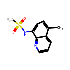 Cc1ccc(NS(C)(=O)=O)c2ncccc12